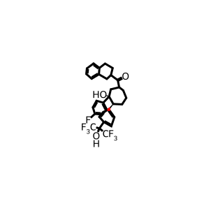 O=C(C1CCc2ccccc2C1)C1CCC[C@@H](c2ccc(C(O)(C(F)(F)F)C(F)(F)F)cc2)[C@@](O)(c2ccc(F)cc2)C1